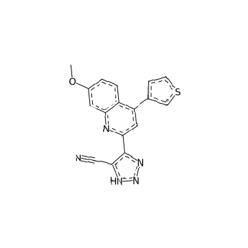 COc1ccc2c(-c3ccsc3)cc(-c3nn[nH]c3C#N)nc2c1